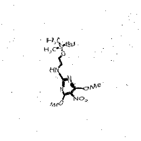 COc1nc(NCCO[Si](C)(C)C(C)(C)C)nc(OC)c1[N+](=O)[O-]